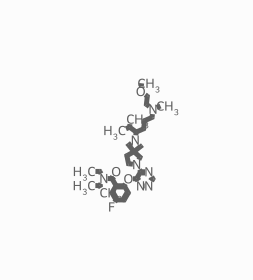 CCN(C(=O)c1cc(F)ccc1Oc1nncnc1N1CCC2(C1)CN(C(CCCN(C)CCOC)C(C)C)C2)C(C)C